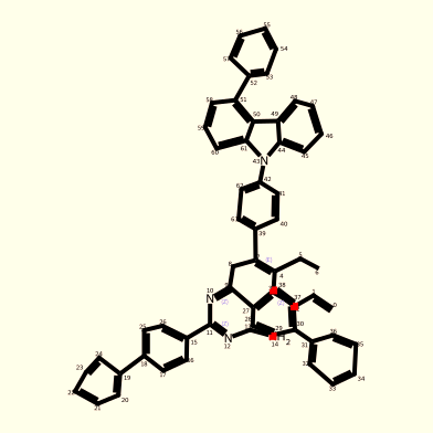 C=C/C=C\C(CC)=C(/C/C(=N/C(=N\CN)c1ccc(-c2ccccc2)cc1)c1ccc(-c2ccccc2)cc1)c1ccc(-n2c3ccccc3c3c(-c4ccccc4)cccc32)cc1